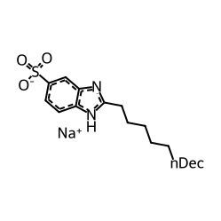 CCCCCCCCCCCCCCCc1nc2cc(S(=O)(=O)[O-])ccc2[nH]1.[Na+]